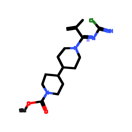 C=C(C)/C(=N\C(=N)Cl)N1CCC(C2CCN(C(=O)OC(C)(C)C)CC2)CC1